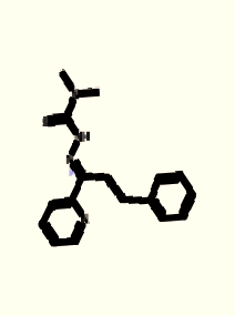 CN(C)C(=S)N/N=C(\CCc1ccccc1)c1ccccn1